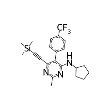 Cc1nc(C#C[Si](C)(C)C)c(-c2ccc(C(F)(F)F)cc2)c(NC2CCCC2)n1